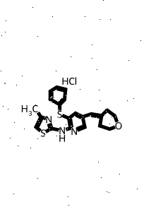 Cc1csc(Nc2ncc(C=C3CCOCC3)cc2Sc2ccccc2)n1.Cl